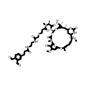 COc1cc2cc(c1Cl)N(C)C(=O)C[C@@H](OC(=O)[C@H](C)N(C)C(=O)CCSCC(=O)NCCNC(=O)CCc1ccc(C=O)c(C=O)c1)CC1C([C@H](C)[C@@H]3C[C@@](O)(NC(=O)O3)[C@H](OC)/C=C\C=C(/C)C2)[C@]1(C)O